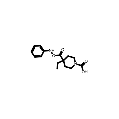 CCC1(C(=O)ONc2ccccc2)CCN(C(=O)O)CC1